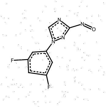 O=Nc1ncn(-c2cc(F)cc(F)c2)n1